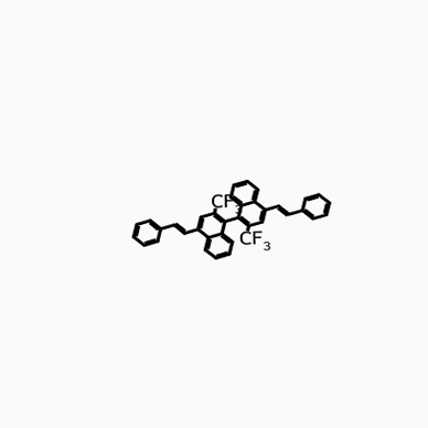 FC(F)(F)c1cc(/C=C/c2ccccc2)c2ccccc2c1-c1c(C(F)(F)F)cc(/C=C/c2ccccc2)c2ccccc12